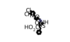 O=C(O)C(Cc1ccccc1)N1C(=O)/C(=C\c2ccc(-c3ccc(Cl)c(Cl)n3)o2)NC1=S